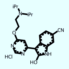 CC(C)N(CCOc1cc(-c2c(O)[nH]c3cc(C#N)ccc23)ncn1)C(C)C.Cl